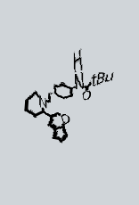 CC(C)(C)C(=O)N[C@H]1CC[C@H](CCN2CCCCC2c2coc3cccc-3c2)CC1